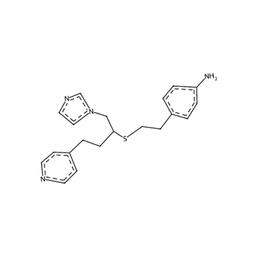 Nc1ccc(CCSC(CCc2ccncc2)Cn2ccnc2)cc1